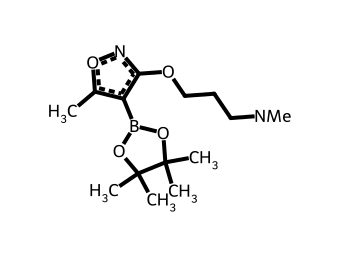 CNCCCOc1noc(C)c1B1OC(C)(C)C(C)(C)O1